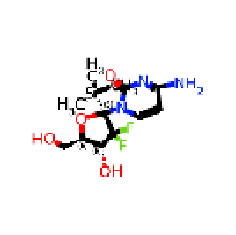 C[Si](C)(C)[C@@]1(n2ccc(N)nc2=O)O[C@H](CO)[C@@H](O)C1(F)F